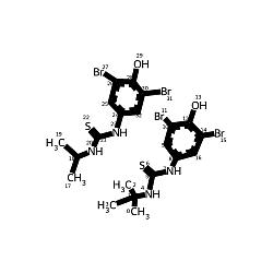 CC(C)(C)NC(=S)Nc1cc(Br)c(O)c(Br)c1.CC(C)NC(=S)Nc1cc(Br)c(O)c(Br)c1